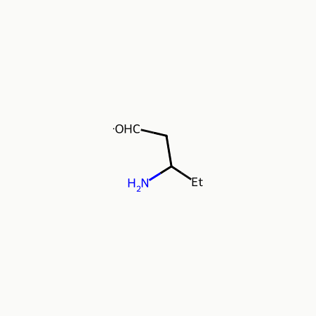 CCC(N)C[C]=O